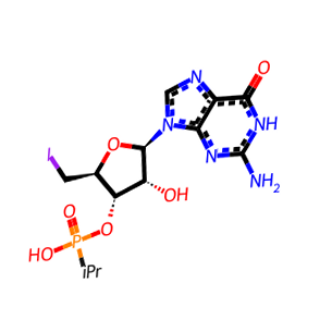 CC(C)P(=O)(O)O[C@H]1[C@@H](O)[C@H](n2cnc3c(=O)[nH]c(N)nc32)O[C@@H]1CI